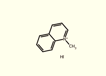 C[n+]1cccc2ccccc21.I